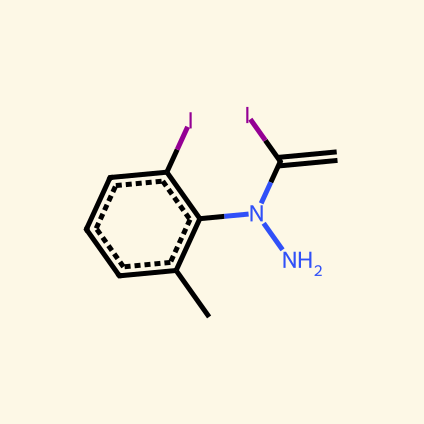 C=C(I)N(N)c1c(C)cccc1I